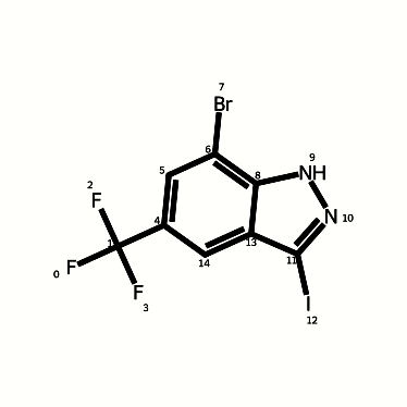 FC(F)(F)c1cc(Br)c2[nH]nc(I)c2c1